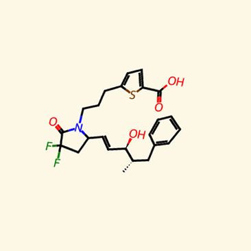 C[C@@H](Cc1ccccc1)[C@H](O)/C=C/C1CC(F)(F)C(=O)N1CCCc1ccc(C(=O)O)s1